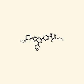 CCNC(=O)Nc1ccc(-c2nc3c(c(N4CCOCC4)n2)CN(c2ccnc(N)n2)C3)cc1